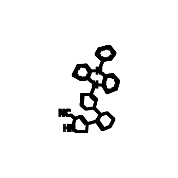 N#CC1C=C(C2=CCCCC2C2C=C(N3c4ccccc4N(c4ccccc4)c4ccccc43)C=CC2)CCN1